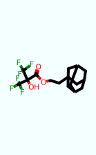 O=C(OCCC12CC3CC(CC(C3)C1)C2)C(O)(C(F)(F)F)C(F)(F)F